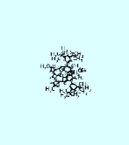 Cc1ccc(C2=Cc3c(cc(C)c(C)c3-c3cc(C(C)(C)C)cc(C(C)(C)C)c3)[CH]2[Zr+2](=[C]2CCC2)[CH]2C(c3ccc(C)o3)=Cc3c2cc(C)c(C)c3-c2cc(C(C)(C)C)cc(C(C)(C)C)c2)o1.[Cl-].[Cl-]